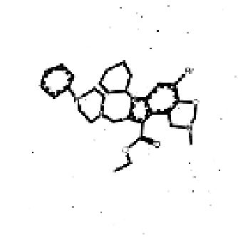 CCOC(=O)c1c(CN2CCN(c3ccccc3)CC2)n(C2CCCCC2)c2cc(Br)c3c(c12)CN(C)CO3